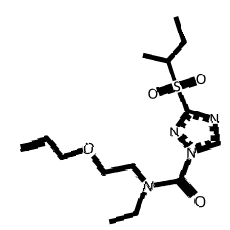 C=CCOCCN(CC)C(=O)n1cnc(S(=O)(=O)C(C)CC)n1